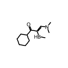 CB/C(=C\N(C)C)C(=O)C1CCCCC1